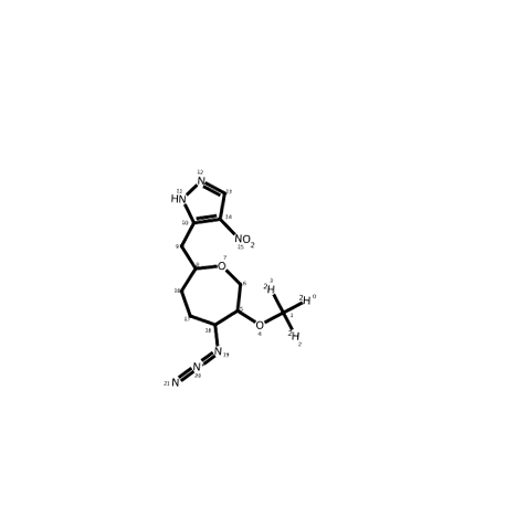 [2H]C([2H])([2H])OC1COC(Cc2[nH]ncc2[N+](=O)[O-])CCC1N=[N+]=[N-]